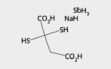 O=C(O)CC(S)(S)C(=O)O.[NaH].[SbH3]